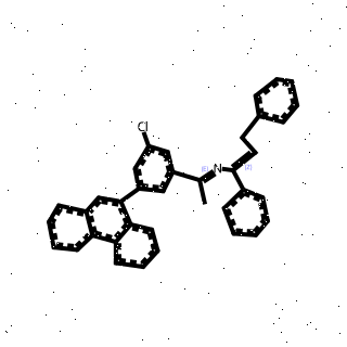 C/C(=N\C(=C/Cc1ccccc1)c1ccccc1)c1cc(Cl)cc(-c2cc3ccccc3c3ccccc23)c1